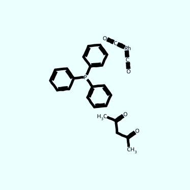 CC(=O)CC(C)=O.O=[C]=[Rh]=[C]=O.c1ccc(P(c2ccccc2)c2ccccc2)cc1